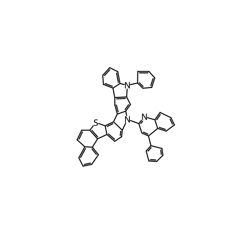 c1ccc(-c2cc(-n3c4cc5c(cc4c4c6sc7ccc8ccccc8c7c6ccc43)c3ccccc3n5-c3ccccc3)nc3ccccc23)cc1